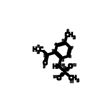 CC(=O)c1cc(C)ccc1NS(C)(=O)=O